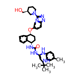 Cc1ccc(N/C(=C\C(=N)C(C)(C)C)NC(=O)N[C@H]2CC[C@@H](Oc3ccc4nnc(N5CCC[C@H](CO)C5)n4c3)c3ccccc32)cc1